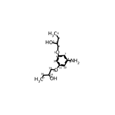 CCC(O)COc1cc(N)cc(OCC(O)CC)c1